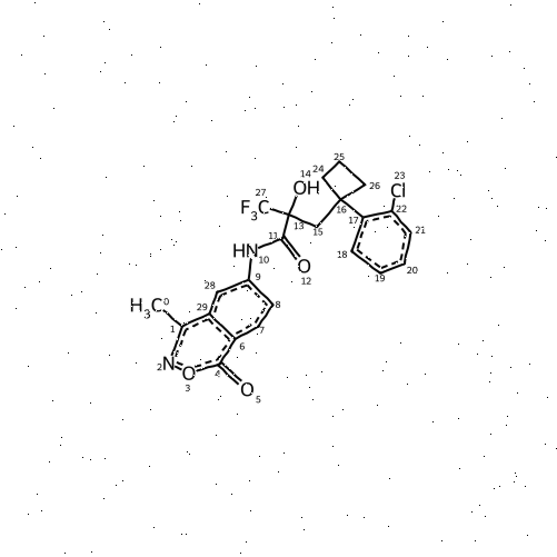 Cc1noc(=O)c2ccc(NC(=O)C(O)(CC3(c4ccccc4Cl)CCC3)C(F)(F)F)cc12